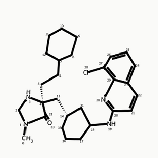 CN1CN[C@@](CCC2CCCCC2)(C[C@H]2CCCC(Nc3ccc4cccc(Cl)c4n3)C2)C1=O